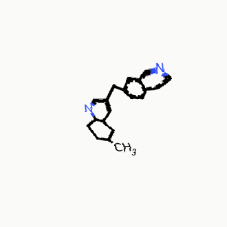 CC1CCC2N=CC(Cc3ccc4ccncc4c3)=CC2C1